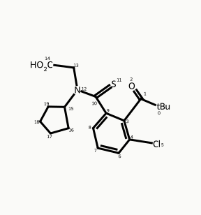 CC(C)(C)C(=O)c1c(Cl)cccc1C(=S)N(CC(=O)O)C1CCCC1